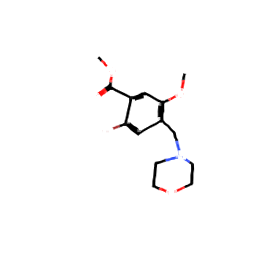 COC(=O)c1cc(OC)c(CN2CCOCC2)cc1Br